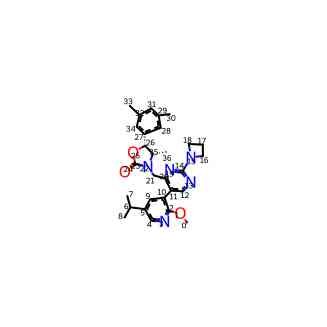 COc1ncc(C(C)C)cc1-c1cnc(N2CCC2)nc1CN1C(=O)O[C@H](c2cc(C)cc(C)c2)[C@@H]1C